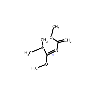 C=C(/N=C(/OC)N(C)C)OC